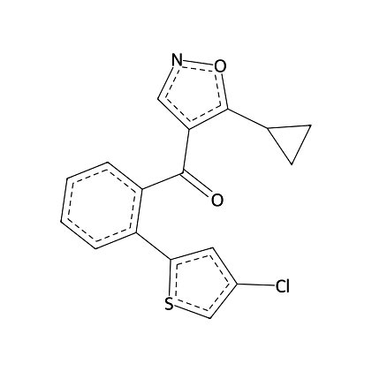 O=C(c1ccccc1-c1cc(Cl)cs1)c1cnoc1C1CC1